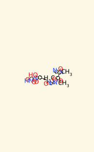 COc1cc(-c2cn(C)c(=O)c3cnccc23)cc(OC)c1CN1CC2(CCN(C(=O)CC#Cc3ccc4c(c3)C(=O)N(C3CCC(=O)NC3=O)C4O)C2)C1